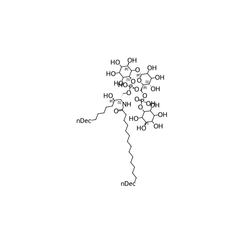 CCCCCCCCCCCCCCCCCCCCCCCC(=O)N[C@@H](COP(=O)(O)O[C@H]1C(O)C(O)C(O)[C@@H](O)C1O[C@H]1O[C@H](COP(=O)(O)OC2C(O)C(O)C(O)[C@@H](O)C2O)[C@@H](O)C(O)C1O)[C@H](O)CCCCCCCCCCCCCCC